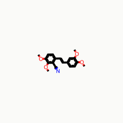 COc1ccc(/C=C/c2ccc(OC)c(OC)c2C#N)cc1OC